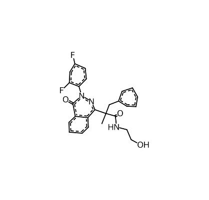 CC(Cc1ccccc1)(C(=O)NCCO)c1nn(-c2ccc(F)cc2F)c(=O)c2ccccc12